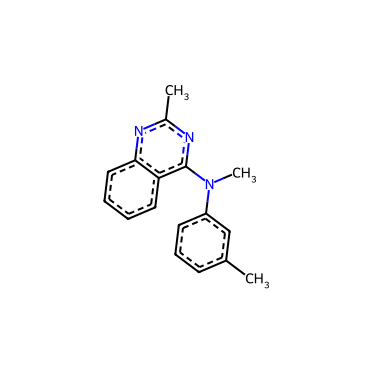 Cc1cccc(N(C)c2nc(C)nc3ccccc23)c1